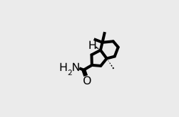 CC1(C)CCC[C@@]2(C)CC(C(N)=O)C[C@@H]12